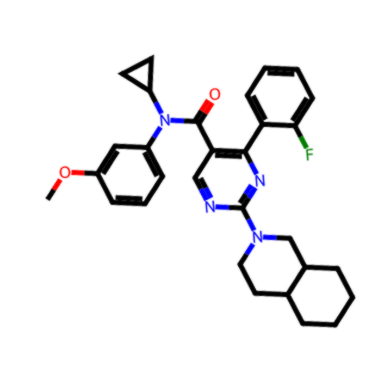 COc1cccc(N(C(=O)c2cnc(N3CCC4CCCCC4C3)nc2-c2ccccc2F)C2CC2)c1